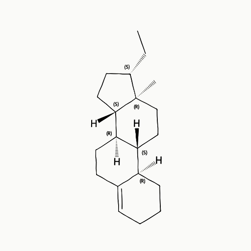 CC[C@H]1CC[C@H]2[C@@H]3CCC4=CCCC[C@@H]4[C@H]3CC[C@]12C